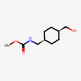 CCCCOC(=O)NC[C@H]1CC[C@@H](CO)CC1